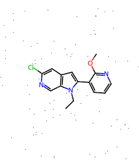 CCn1c(-c2cccnc2OC)cc2cc(Cl)ncc21